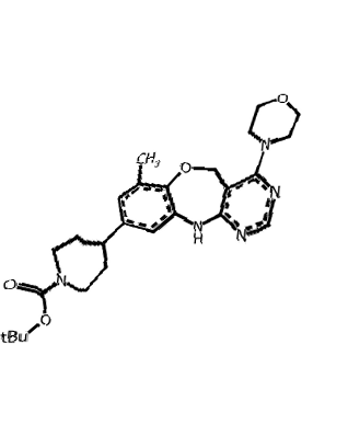 Cc1cc(C2CCN(C(=O)OC(C)(C)C)CC2)cc2c1OCc1c(ncnc1N1CCOCC1)N2